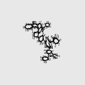 c1ccc(-c2nc(-c3ccc(-c4cccc5c4nc(-c4ccccc4)c4ccc6sc7ccccc7c6c45)cc3)cc(-c3ccc4c(c3)c3ccccc3n4-c3ccccc3)n2)cc1